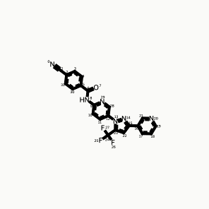 N#Cc1ccc(C(=O)Nc2ccc(-n3nc(-c4cccnc4)cc3C(F)(F)F)cn2)cc1